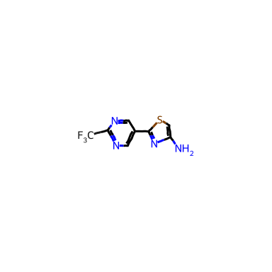 Nc1csc(-c2cnc(C(F)(F)F)nc2)n1